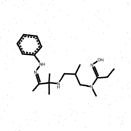 CCC(=NO)N(C)CC(C)CNC(C)(C)C(C)=NNc1ccccc1